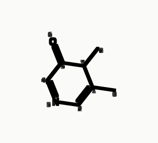 CC1=CN=[C]C(=O)C1C